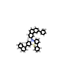 c1ccc(-c2ccc3ccc4ccc(N(c5ccc(-c6cccc7ccccc67)cc5)c5cccc6c5sc5ccccc56)cc4c3c2)cc1